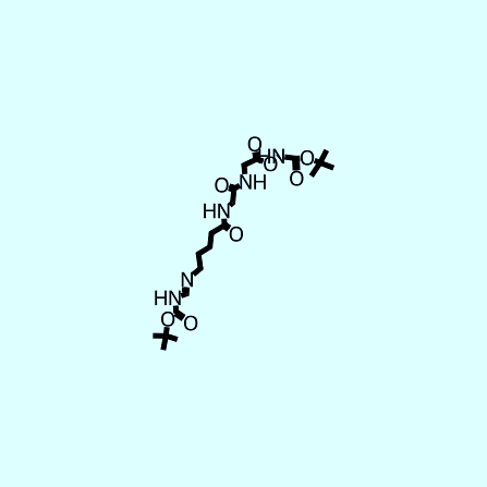 CC(C)(C)OC(=O)NC=NCCCCC(=O)NCC(=O)NCC(=O)ONC(=O)OC(C)(C)C